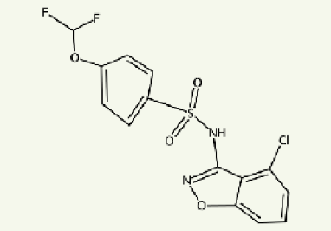 O=S(=O)(Nc1noc2cccc(Cl)c12)c1ccc(OC(F)F)cc1